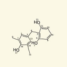 Cc1cc(Cc2c(O)cccc2O)cc(C)c1O